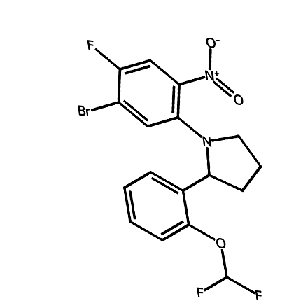 O=[N+]([O-])c1cc(F)c(Br)cc1N1CCCC1c1ccccc1OC(F)F